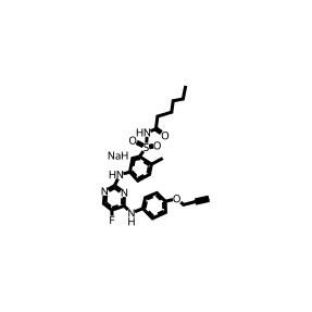 C#CCOc1ccc(Nc2nc(Nc3ccc(C)c(S(=O)(=O)NC(=O)CCCCC)c3)ncc2F)cc1.[NaH]